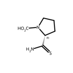 NC(=S)[C@H]1CCCN1C(=O)O